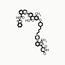 Cc1cc(OC2CCC(CCCCN3CCN(c4cccc5c(C6CCC(=O)NC6=O)nn(C)c45)CC3)CC2)ccc1-c1ccc(N2CCc3cccc(C(=O)Nc4nc5ccccc5s4)c3C2)nc1C(=O)O